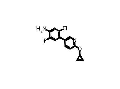 Nc1cc(Cl)c(-c2ccc(OC3CC3)nc2)cc1F